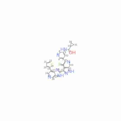 OC(Nc1cncc(-c2ncc3[nH]nc(-c4nc5c(-c6cccs6)cncc5[nH]4)c3c2F)c1)C1CC1